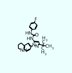 CC(C)(C)c1cc(NC(=O)Nc2ccc(F)cc2)n(-c2ccc3c(c2)CCCN3)n1